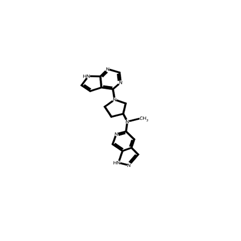 CN(c1cc2cn[nH]c2cn1)C1CCN(c2ncnc3[nH]ccc23)C1